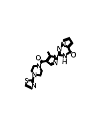 Cc1c(C(=O)N2CCN(c3nccs3)CC2)cnn1-c1nn2cccc2c(=O)[nH]1